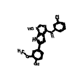 COc1cc(-c2cc3c(Nc4cccc(Cl)c4)ncnc3[nH]2)ccc1O.Cl